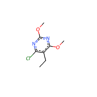 CCc1c(Cl)nc(OC)nc1OC